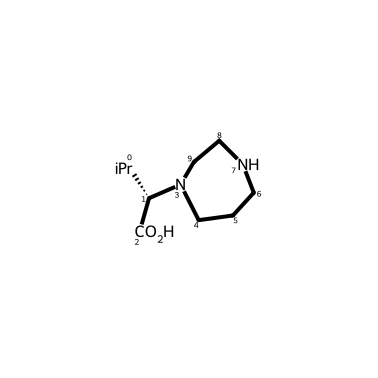 CC(C)[C@@H](C(=O)O)N1CCCNCC1